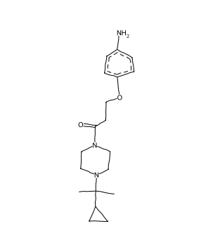 CC(C)(C1CC1)N1CCN(C(=O)CCOc2ccc(N)cc2)CC1